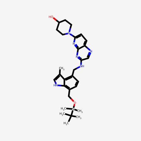 Cc1c[nH]c2c(CO[Si](C)(C)C(C)(C)C)ccc(CNc3cnc4ccc(N5CCC(O)CC5)nc4n3)c12